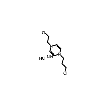 Cl.Cl.ClCCCN1C=CN(CCCl)C=C1